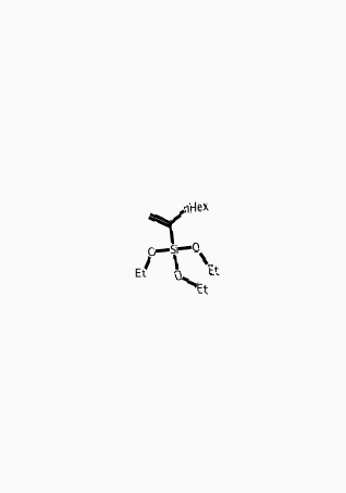 C=C(CCCCCC)[Si](OCC)(OCC)OCC